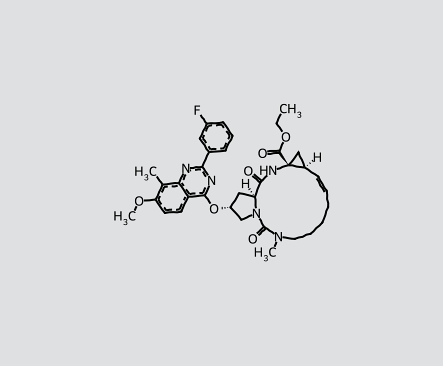 CCOC(=O)[C@@]12C[C@H]1/C=C\CCCCN(C)C(=O)N1C[C@H](Oc3nc(-c4cccc(F)c4)nc4c(C)c(OC)ccc34)C[C@H]1C(=O)N2